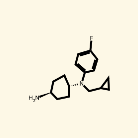 N[C@H]1CC[C@H](N(CC2CC2)c2ccc(F)cc2)CC1